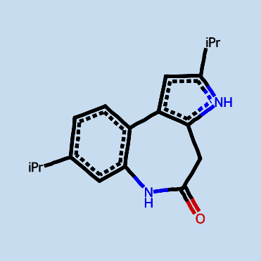 CC(C)c1ccc2c(c1)NC(=O)Cc1[nH]c(C(C)C)cc1-2